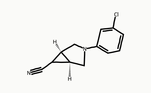 N#CC1[C@H]2CN(c3cccc(Cl)c3)C[C@@H]12